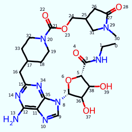 CCNC(=O)[C@H]1O[C@@H](n2cnc3c(N)nc(CC4CCN(C(=O)OCC5CC(=O)N(C)C5)CC4)nc32)C(O)C1O